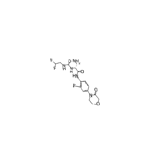 NC[C@@H](NC(=O)NCC(F)F)C(=O)Nc1ccc(N2CCOCC2=O)cc1F